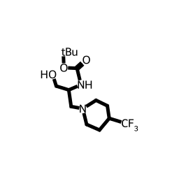 CC(C)(C)OC(=O)NC(CO)CN1CCC(C(F)(F)F)CC1